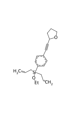 C=CC[Si](CC=C)(OCC)c1ccc(C#CC2CCCO2)cc1